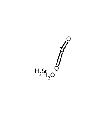 O.[O]=[Zr]=[O].[SrH2]